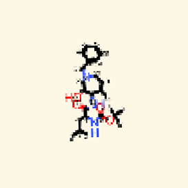 CC(C)CC(NC(=O)OC(C)(C)C)C(=O)NC1C(C)CCN(Cc2ccccc2)C[C@@H]1O